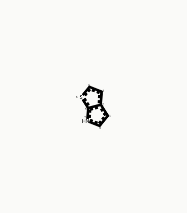 [c]1cc2ccsc2[nH]1